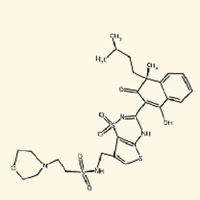 CC(C)CC[C@@]1(C)C(=O)C(C2=NS(=O)(=O)c3c(CNS(=O)(=O)CCN4CCOCC4)csc3N2)=C(O)c2ccccc21